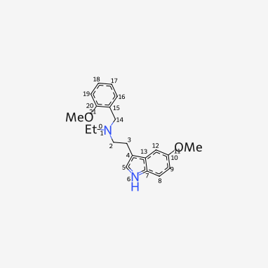 CCN(CCc1c[nH]c2ccc(OC)cc12)Cc1ccccc1OC